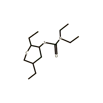 CCC1CCC(CC)C(SC(=O)N(CC)CC)C1